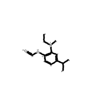 CCN(C)c1cc(C(C)C)ccc1OC=O